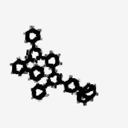 c1ccc(-c2nc(-c3ccc(C45CC6CC(CC(C6)C4)C5)cc3)nc(-c3cccc(-c4nc(-c5ccccc5)nc(-c5ccccc5-c5ccccc5)n4)c3)n2)cc1